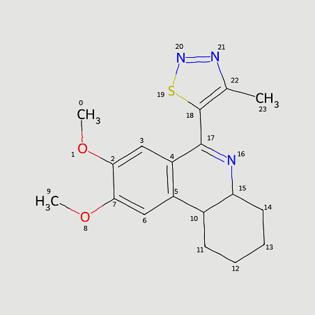 COc1cc2c(cc1OC)C1CCCCC1N=C2c1snnc1C